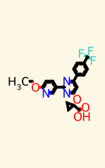 CCOc1ccc(-c2nc(OC3(C(=O)O)CC3)cc(-c3ccc(C(F)(F)F)cc3)n2)cn1